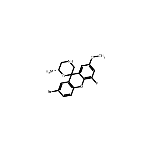 COc1cc(F)c2c(c1)C1(CNC[C@@H](N)O1)c1cc(Br)ccc1O2